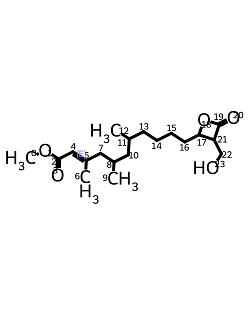 COC(=O)/C=C(\C)CC(C)CC(C)CCCCC1OC(=O)C1CO